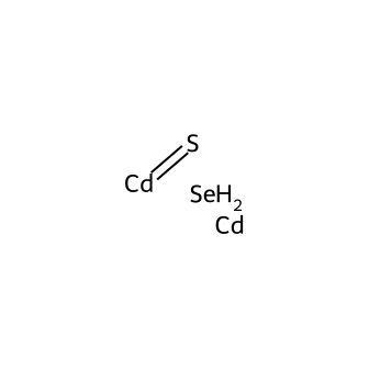 [Cd].[S]=[Cd].[SeH2]